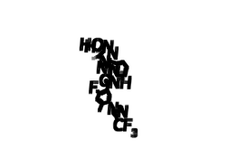 Cc1cc(F)c(C(=O)Nc2cccc(/C(=N/N)N(N)[C@H](C)CO)n2)cc1-n1cnc(C(F)(F)F)c1